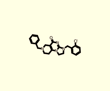 O=c1nc2n(c3c1CN(Cc1ccccc1)CC3)CCN2Cc1ccccc1Cl